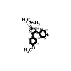 COc1ccc(-c2nc(SC(C)C)[nH]c2-c2ccncc2)cc1